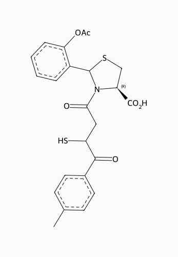 CC(=O)Oc1ccccc1C1SC[C@@H](C(=O)O)N1C(=O)CC(S)C(=O)c1ccc(C)cc1